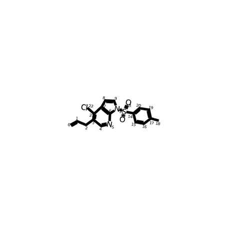 C=CCc1cnc2c(ccn2S(=O)(=O)c2ccc(C)cc2)c1Cl